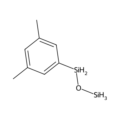 Cc1cc(C)cc([SiH2]O[SiH3])c1